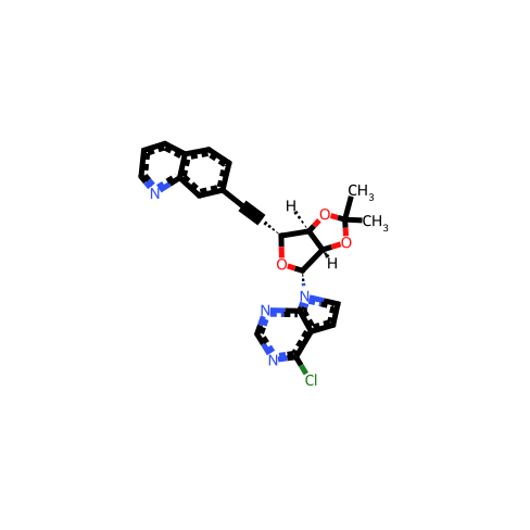 CC1(C)O[C@@H]2[C@H](O1)[C@@H](C#Cc1ccc3cccnc3c1)O[C@H]2n1ccc2c(Cl)ncnc21